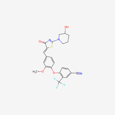 COc1cc(/C=C2\SC(N3CCCC(O)C3)=NC2=O)ccc1Oc1ccc(C#N)cc1C(F)(F)F